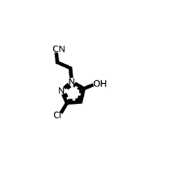 N#CCCn1nc(Cl)cc1O